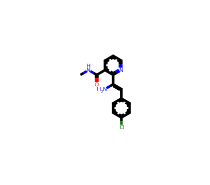 CNC(=O)c1cccnc1C(N)=Cc1ccc(Cl)cc1